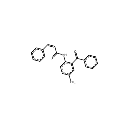 Cc1ccc(NC(=O)/C=C\c2ccccc2)c(C(=O)c2ccccc2)c1